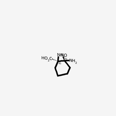 N[C@]1(N=O)CCCC[C@]1(N)C(=O)O